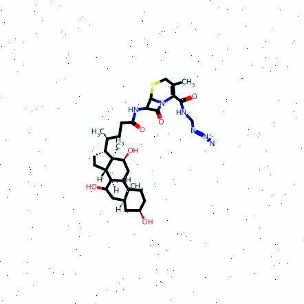 CC1=C(C(=O)NCN=[N+]=[N-])N2C(=O)C(NC(=O)CC[C@@H](C)[C@H]3CC[C@H]4[C@@H]5C(O)C[C@@H]6C[C@H](O)CC[C@]6(C)[C@H]5C[C@H](O)[C@]34C)C2SC1